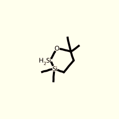 CC1(C)CC[Si](C)(C)[SiH2]O1